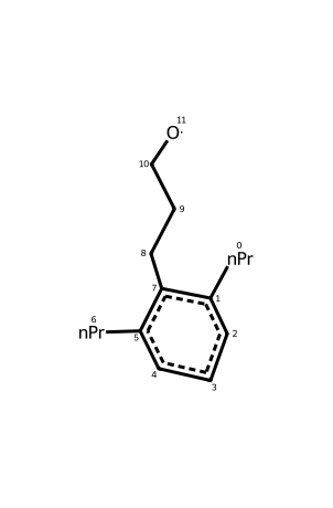 CCCc1cccc(CCC)c1CCC[O]